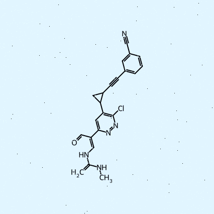 C=C(NC)N/C=C(\C=O)c1cc(C2CC2C#Cc2cccc(C#N)c2)c(Cl)nn1